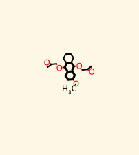 COc1ccc2c(OCC3CO3)c3c(c(OCC4CO4)c2c1)CC=CC3